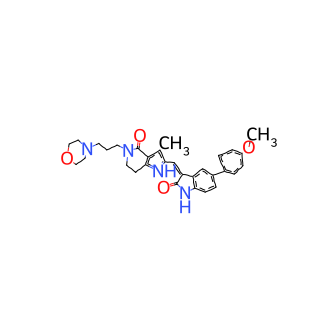 COc1ccc(-c2ccc3c(c2)/C(=C/c2[nH]c4c(c2C)C(=O)N(CCCN2CCOCC2)CC4)C(=O)N3)cc1